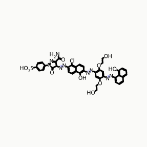 NC(=O)C1=NN(c2ccc(S(=O)(=O)O)cc2)C(=O)C1/N=N/c1ccc2c(O)c(/N=N/c3cc(OCCO)c(/N=N/c4cccc5cccc(O)c45)cc3OCCO)ccc2c1Cl